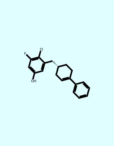 Oc1cc(F)c(Cl)c(C[C@H]2CC=C(c3ccccc3)CC2)c1